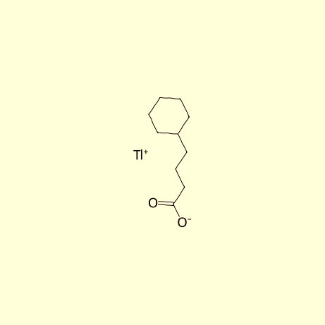 O=C([O-])CCCC1CCCCC1.[Tl+]